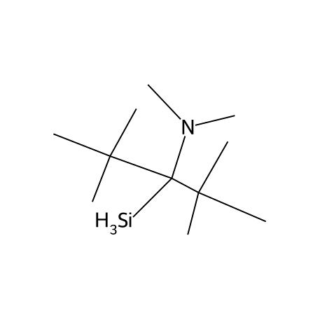 CN(C)C([SiH3])(C(C)(C)C)C(C)(C)C